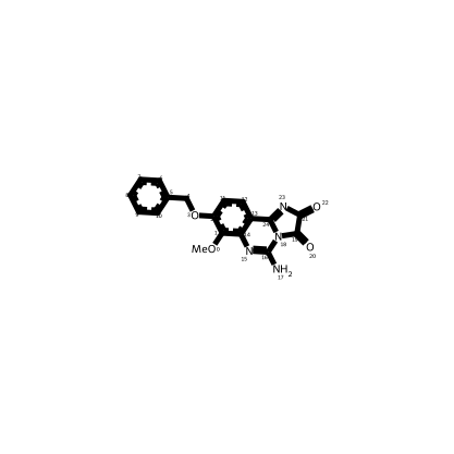 COc1c(OCc2ccccc2)ccc2c1N=C(N)N1C(=O)C(=O)N=C21